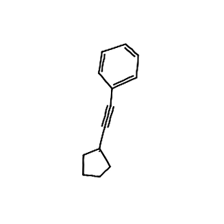 C(#Cc1ccccc1)[C]1CCCC1